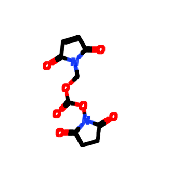 O=C(OCN1C(=O)C=CC1=O)ON1C(=O)CCC1=O